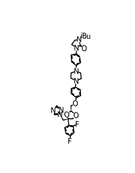 CCC(C)N1CCN(c2ccc(N3CCN(c4ccc(OC[C@H]5OC[C@](Cn6cncn6)(c6ccc(F)cc6F)O5)cc4)CC3)cc2)C1=O